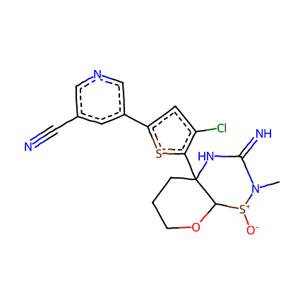 CN1C(=N)NC2(c3sc(-c4cncc(C#N)c4)cc3Cl)CCCOC2[S+]1[O-]